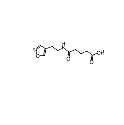 O=C(O)CCCC(=O)NCCc1cnoc1